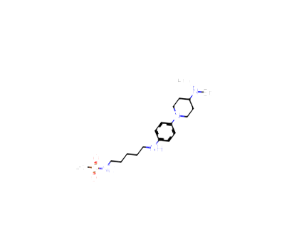 CCN(C)C1CCN(c2ccc(NCCCCCNS(=O)(=O)C(C)C)cc2)CC1